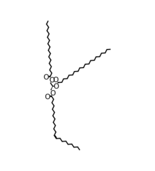 CCCCCCCC/C=C\CCCCCCCCCCCC(=O)OC[C@@H](COC(=O)CCCCCCCCCCCCCCCCC)OC(=O)CCCCCCCCCCCCCCCCCCC